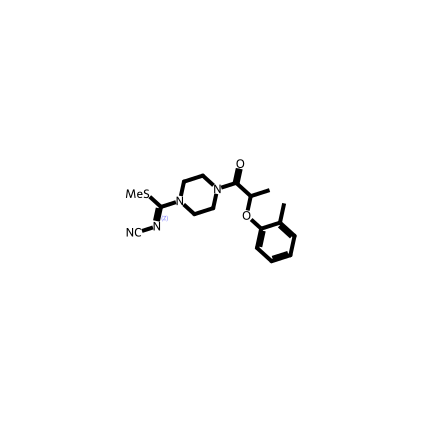 CS/C(=N\C#N)N1CCN(C(=O)C(C)Oc2ccccc2C)CC1